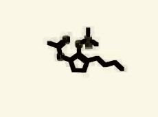 CCCCC1=C(O[SiH](C)C)C(OC(C)=O)CC1